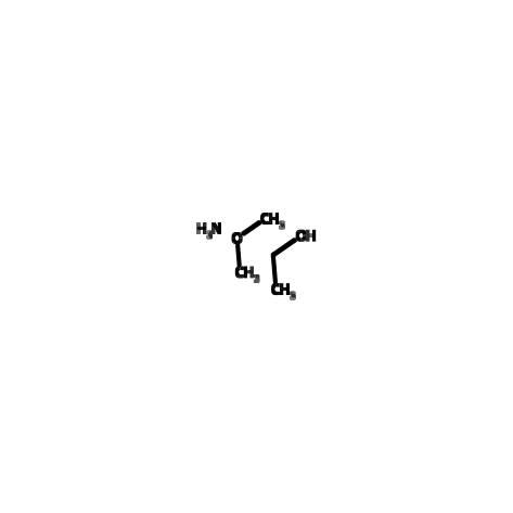 CCO.COC.N